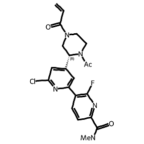 C=CC(=O)N1CCN(C(C)=O)[C@H](c2cc(Cl)nc(-c3ccc(C(=O)NC)nc3F)c2)C1